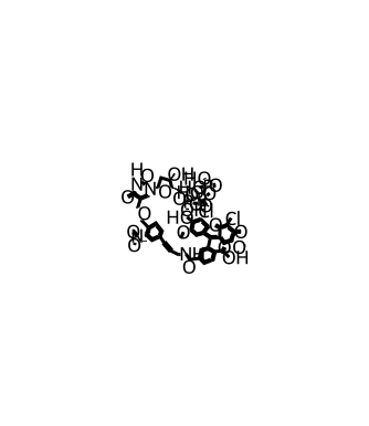 COc1cc2c(-c3cc(C(=O)NCC#Cc4ccc(COCc5cn([C@H]6C[C@@H](O)[C@@H](COP(=O)(O)OP(=O)(O)OP(=O)(O)O)O6)c(=O)[nH]c5=O)c([N+](=O)[O-])c4)ccc3C(=O)O)c3cc(OC)c(=O)c(Cl)c-3oc2c(Cl)c1O